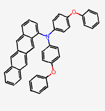 c1ccc(Oc2ccc(N(c3ccc(Oc4ccccc4)cc3)c3cccc4cc5cc6ccccc6cc5cc34)cc2)cc1